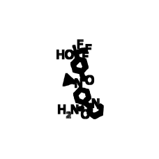 C[C@](O)(c1ccc(C(=O)N(C2CC2)[C@H]2CC[C@](C(N)=O)(c3ccccn3)CC2)cc1)C(F)(F)F